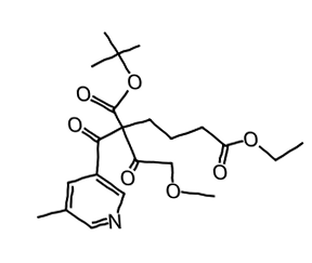 CCOC(=O)CCCC(C(=O)COC)(C(=O)OC(C)(C)C)C(=O)c1cncc(C)c1